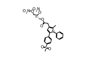 Cc1c(CC(=O)OC[C@H](CO[N+](=O)[O-])O[N+](=O)[O-])cc(-c2ccc(S(C)(=O)=O)cc2)n1-c1ccccc1